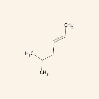 [CH2]/C=C/CC(C)C